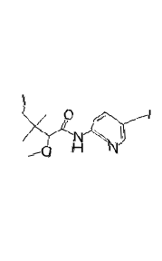 COC(C(=O)Nc1ccc(I)cn1)C(C)(C)CI